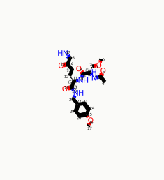 COC[C@H](NC(C)=O)C(=O)N[C@@H](CCC(=O)C=N)C(=O)NCc1ccc(OC)cc1